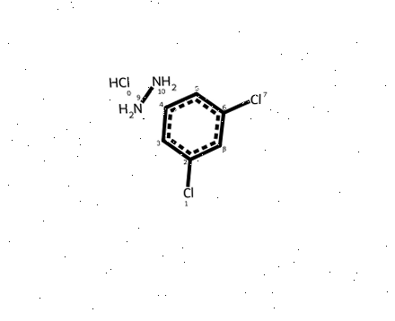 Cl.Clc1cccc(Cl)c1.NN